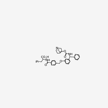 CC(C)CC(NC(=O)c1ccc(COc2cccc([C@@H](NC(=O)OC3CN4CCC3CC4)c3ccccc3)c2)cc1)C(=O)O